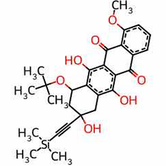 COc1cccc2c1C(=O)c1c(O)c3c(c(O)c1C2=O)CC(O)(C#C[Si](C)(C)C)CC3OC(C)(C)C